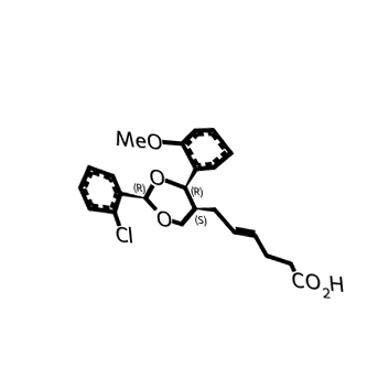 COc1ccccc1[C@@H]1O[C@H](c2ccccc2Cl)OC[C@@H]1CC=CCCC(=O)O